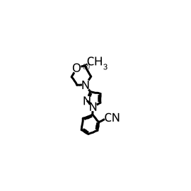 C[C@@H]1CN(c2ccn(-c3ccccc3C#N)n2)CCO1